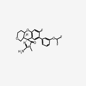 CN1C(=O)[C@]2(N=C1N)c1cc(-c3cccc(OC(F)F)c3)c(F)cc1OC1CCOC[C@@H]12